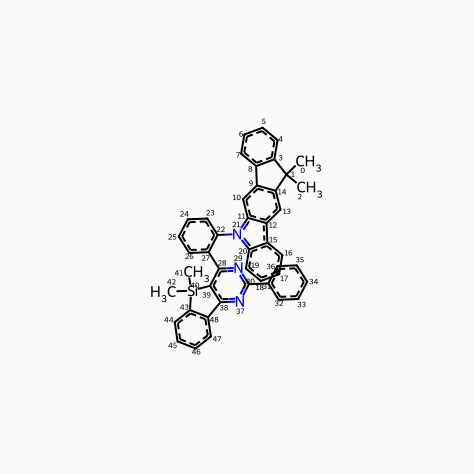 CC1(C)c2ccccc2-c2cc3c(cc21)c1ccccc1n3-c1ccccc1-c1nc(-c2ccccc2)nc2c1[Si](C)(C)c1ccccc1-2